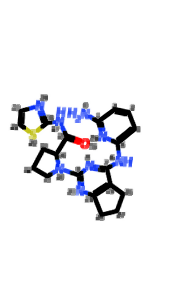 Nc1cccc(Nc2nc(N3CCCC3C(=O)Nc3nccs3)nc3c2CCC3)n1